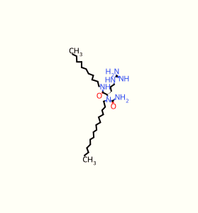 CCCCCCCCCCCCCCCCN(C(N)=O)[C@@H](CCCNC(=N)N)C(=O)NCCCCCCCCCCCC